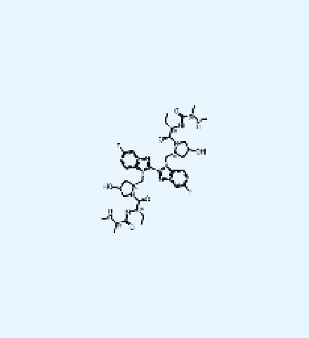 CC[C@@H](NC(=O)[C@@H](C)NC)C(=O)N1CC(O)C[C@H]1Cn1c(-c2nc3cc(F)ccc3n2C[C@@H]2CC(O)CN2C(=O)[C@@H](CC)NC(=O)[C@@H](C)NC)nc2cc(F)ccc21